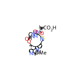 CCn1c(-c2cccnc2[C@H](C)OC)c2c3cc(ccc31)C1CSC(=N1)C[C@H](NC(=O)[C@@H]1[C@@H](C)[C@H]1C(=O)O)C(=O)N1CCC[C@H](N1)C(=O)OCC(C)(C)C2